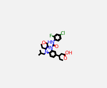 CCC(CC(=O)O)c1ccc(N(CC(C)C)C2CCOCC2)c(NC(=O)Nc2ccc(Cl)cc2F)c1